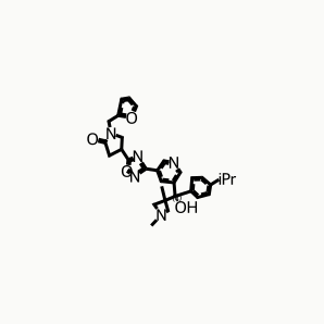 CC(C)c1ccc([C@](O)(c2cncc(-c3noc(C4CC(=O)N(Cc5ccco5)C4)n3)c2)C2(C)CN(C)C2)cc1